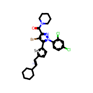 O=C(c1nn(-c2ccc(Cl)cc2Cl)c(-c2ccc(/C=C/C3CCCCC3)[se]2)c1Br)N1CCCCC1